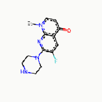 CCn1ccc(=O)c2cc(F)c(N3CCNCC3)nc21